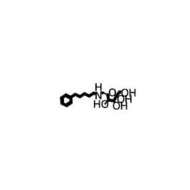 OC[C@]1(O)O[C@H](CNCCCCCc2ccccc2)[C@H](O)[C@H]1O